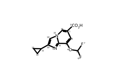 O=C(O)c1cc(OC(F)F)c2nc(C3CC3)cn2c1